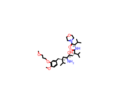 COCCCOc1cc(C[C@@H](C[C@H](N)[C@@H](O)C[C@H](C(=O)N[C@H](C(=O)N2CCOCC2)C(C)C)C(C)C)C(C)C)ccc1OC